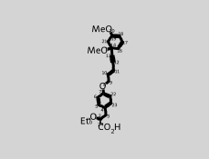 CCO[C@@H](Cc1ccc(OCC=CC#CC2(OC)C=CC=C(OC)C2)cc1)C(=O)O